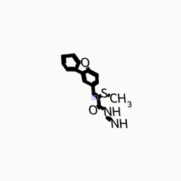 CS/C(=C\c1ccc2oc3ccccc3c2c1)C(=O)NC=N